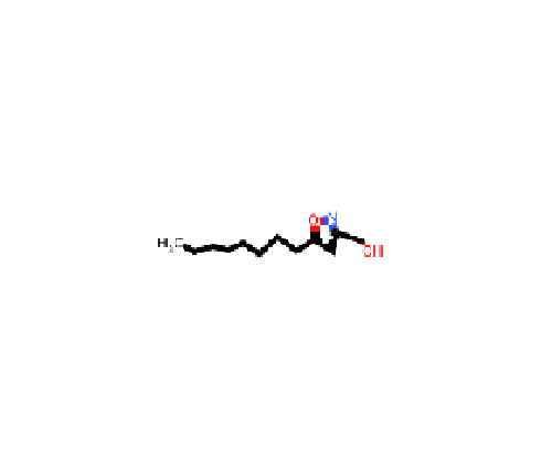 CCCCCCCCc1cc(CO)no1